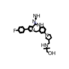 CC(C)(CO)NCC1CCN(c2ccc3c(c2)Cn2cc(-c4ccc(F)cc4)cc2/C(=N/C=N)N3)C1